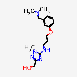 CN(C)Cc1cccc(OCCCNc2nc(CO)nn2C)c1